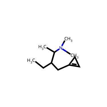 CCC(CC1=CC1)C(C)N(C)C